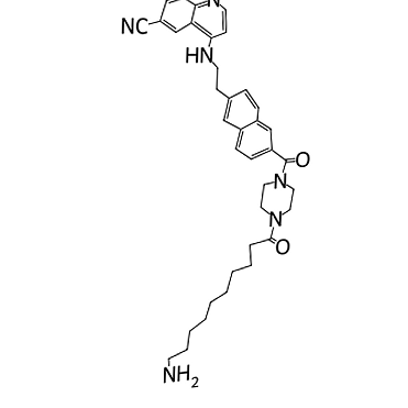 N#Cc1ccc2nccc(NCCc3ccc4cc(C(=O)N5CCN(C(=O)CCCCCCCCCN)CC5)ccc4c3)c2c1